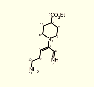 CCOC(=O)C1CCN(/C(C=N)=C/CCN)CC1